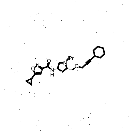 CC(C)N1C[C@@H](NC(=O)c2cc(C3CC3)on2)C[C@H]1COCC#CC1CCCCC1